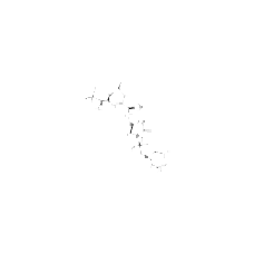 CCCC(NC(=O)C(O)C(C)C)C(=O)Nc1cn(C(C)(C)CN2CCOCC2)cn1